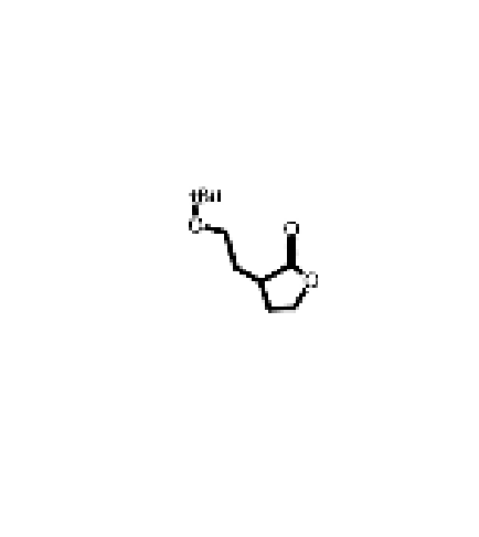 CC(C)(C)OCCC1CCOC1=O